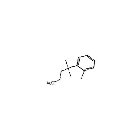 CC(=O)OCCC(C)(C)c1ccccc1C